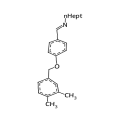 CCCCCCC/N=C/c1ccc(OCc2ccc(C)c(C)c2)cc1